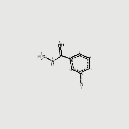 N=C(NN)c1cccc(Cl)c1